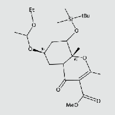 CCOC(C)O[C@H]1CC(O[Si](C)(C)C(C)(C)C)[C@]2(C)OC(C)=C(C(=O)OC)C(=O)C2C1